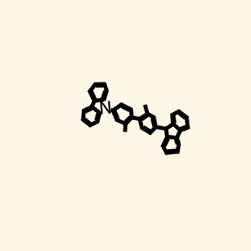 Cc1cc(C2c3ccccc3-c3ccccc32)ccc1-c1ccc(-n2c3ccccc3c3ccccc32)cc1C